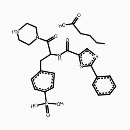 CCCCC(=O)O.O=C(NC(Cc1ccc(P(=O)(O)O)cc1)C(=O)N1CCNCC1)c1csc(-c2ccccc2)n1